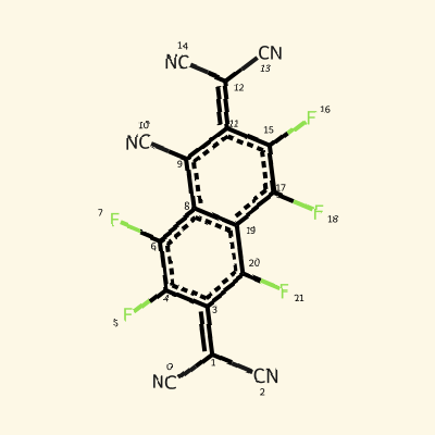 N#CC(C#N)=c1c(F)c(F)c2c(C#N)c(=C(C#N)C#N)c(F)c(F)c2c1F